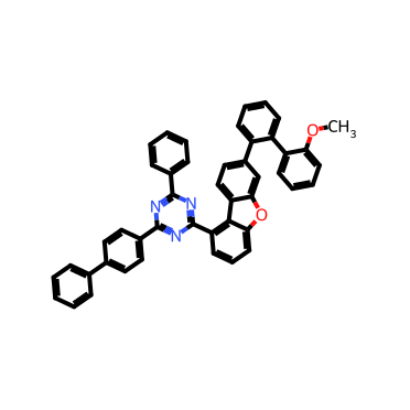 COc1ccccc1-c1ccccc1-c1ccc2c(c1)oc1cccc(-c3nc(-c4ccccc4)nc(-c4ccc(-c5ccccc5)cc4)n3)c12